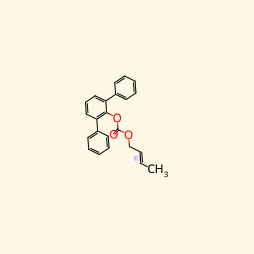 C/C=C/COC(=O)Oc1c(-c2ccccc2)cccc1-c1ccccc1